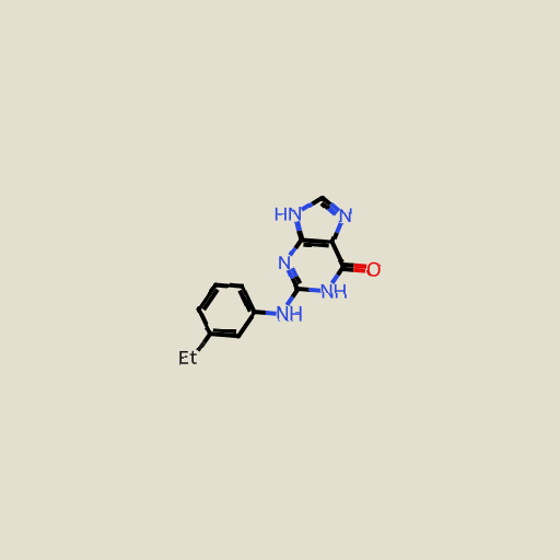 CCc1cccc(Nc2nc3[nH]cnc3c(=O)[nH]2)c1